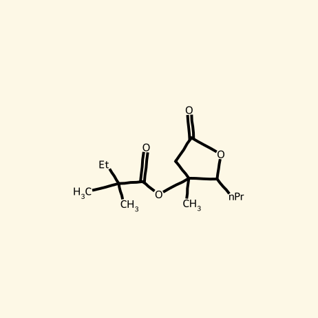 CCCC1OC(=O)CC1(C)OC(=O)C(C)(C)CC